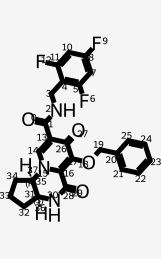 O=C(NCc1c(F)cc(F)cc1F)c1cn2c(c(OCc3ccccc3)c1=O)C(=O)N[C@H]1CCC[C@H]12